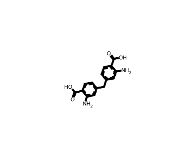 Nc1cc(Cc2ccc(C(=O)O)c(N)c2)ccc1C(=O)O